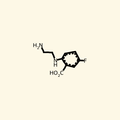 NCCNc1ccc(F)cc1C(=O)O